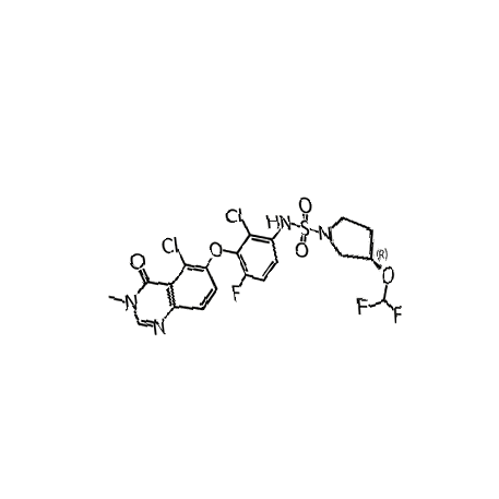 Cn1cnc2ccc(Oc3c(F)ccc(NS(=O)(=O)N4CC[C@@H](OC(F)F)C4)c3Cl)c(Cl)c2c1=O